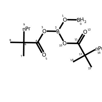 BOB(OC(=O)C(C)(C)CCC)OC(=O)C(C)(C)CCC